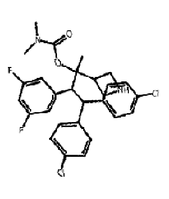 CN(C)C(=O)OC(C)(C1CNC1)C(c1cc(F)cc(F)c1)C(c1ccc(Cl)cc1)c1ccc(Cl)cc1